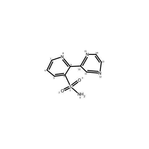 NS(=O)(=O)c1cccnc1-c1cnccn1